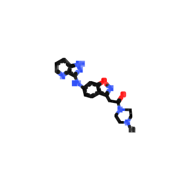 CCN1CCN(C(=O)Cc2noc3cc(Nc4n[nH]c5cccnc45)ccc23)CC1